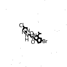 CC(C)c1nn(CC(=O)Nc2ncc(Cl)cn2)c(=O)c2ccc(Br)cc12